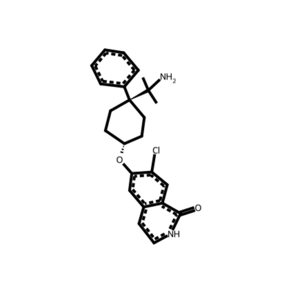 CC(C)(N)[C@]1(c2ccccc2)CC[C@@H](Oc2cc3cc[nH]c(=O)c3cc2Cl)CC1